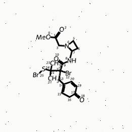 COC(=O)CN1CCC1NC(=O)C(Br)(CC1=CCC(=O)C=C1)C(C)(C)SBr